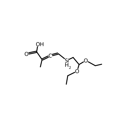 CCOC(C[SiH2]C=C=C(C)C(=O)O)OCC